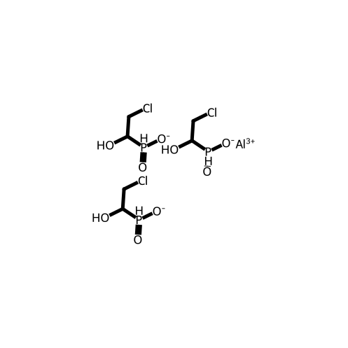 O=[PH]([O-])C(O)CCl.O=[PH]([O-])C(O)CCl.O=[PH]([O-])C(O)CCl.[Al+3]